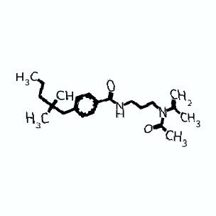 C=C(C)N(CCCNC(=O)c1ccc(CC(C)(C)CCC)cc1)C(C)=O